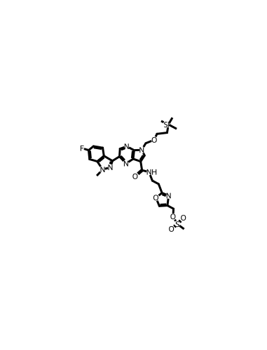 Cn1nc(-c2cnc3c(n2)c(C(=O)NCCc2nc(COS(C)(=O)=O)co2)cn3COCC[Si](C)(C)C)c2ccc(F)cc21